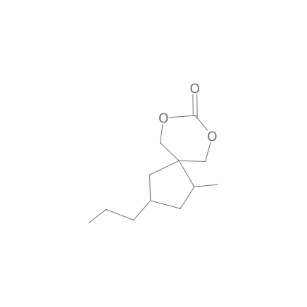 CCCC1CC(C)C2(COC(=O)OC2)C1